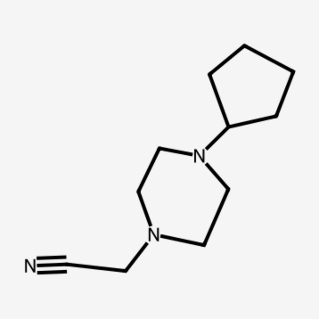 N#CCN1CCN(C2CCCC2)CC1